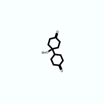 COC1(C2CCC(=O)CC2)CCC(=O)CC1